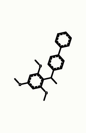 COc1cc(OC)c(C(C)c2ccc(-c3ccccc3)cc2)c(OC)c1